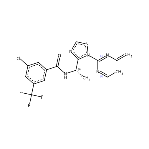 C=C/N=C(\N=C/C)n1ncnc1[C@H](C)NC(=O)c1cc(Cl)cc(C(F)(F)F)c1